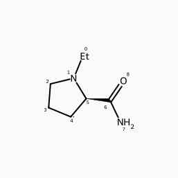 CCN1CC[CH][C@@H]1C(N)=O